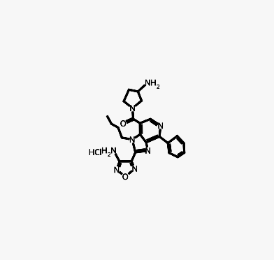 CCCCn1c(-c2nonc2N)nc2c(-c3ccccc3)ncc(C(=O)N3CCC(N)C3)c21.Cl